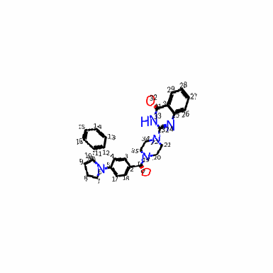 O=C(c1ccc(N2CCC[C@@H]2c2ccccc2)cc1)N1CCN(c2nc3ccccc3c(=O)[nH]2)CC1